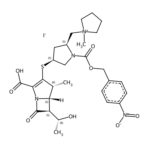 C[C@@H](O)[C@H]1C(=O)N2C(C(=O)O)=C(S[C@H]3C[C@@H](C[N+]4(C)CCCC4)N(C(=O)OCc4ccc([N+](=O)[O-])cc4)C3)[C@H](C)[C@H]12.[I-]